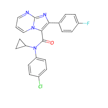 O=C(c1c(-c2ccc(F)cc2)nc2ncccn12)N(c1ccc(Cl)cc1)C1CC1